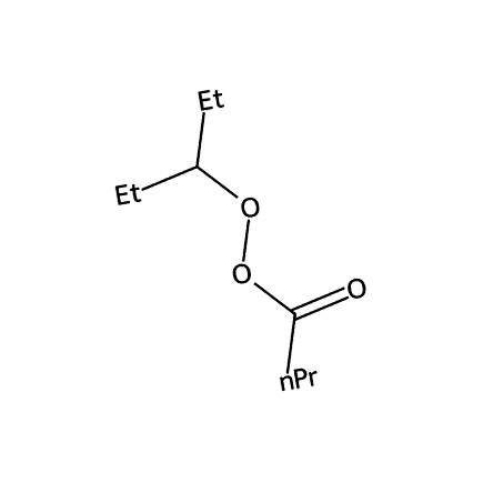 CCCC(=O)OOC(CC)CC